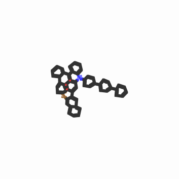 c1ccc(-c2ccc(-c3ccc(N(c4ccc5sc6cc7ccccc7cc6c5c4)c4ccccc4-c4cc5ccccc5c5ccccc45)cc3)cc2)cc1